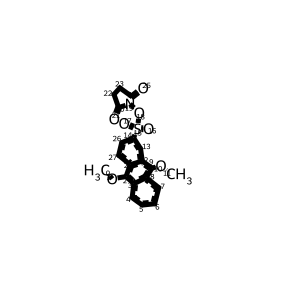 COc1c2ccccc2c(OC)c2cc(S(=O)(=O)ON3C(=O)CCC3=O)ccc12